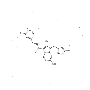 Cc1cc(Cn2c(C(C)C)c(C(=O)NCc3ccc(F)c(F)c3)c3ccc(O)cc32)no1